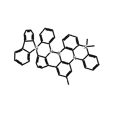 Cc1cc2c3c(c1)N1c4ccccc4[Si](C)(C)c4cccc(c41)B3N1c3ccccc3[Si]3(c4ccccc4-c4ccccc43)c3cccc-2c31